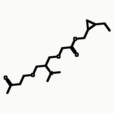 CCC1CC1COC(=O)COCC(COCCC(C)=O)N(C)C